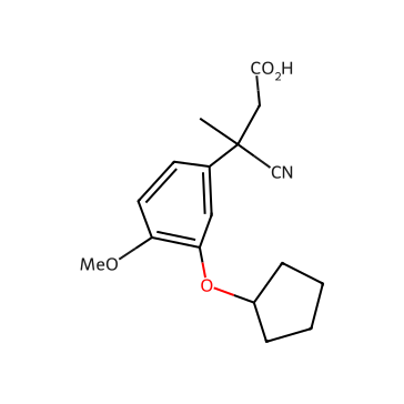 COc1ccc(C(C)(C#N)CC(=O)O)cc1OC1CCCC1